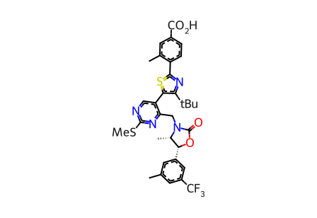 CSc1ncc(-c2sc(-c3ccc(C(=O)O)cc3C)nc2C(C)(C)C)c(CN2C(=O)O[C@H](c3cc(C)cc(C(F)(F)F)c3)[C@@H]2C)n1